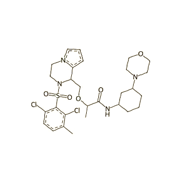 Cc1ccc(Cl)c(S(=O)(=O)N2CCn3cccc3C2COC(C)C(=O)NC2CCCC(N3CCOCC3)C2)c1Cl